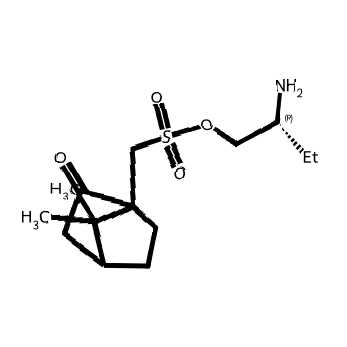 CC[C@@H](N)COS(=O)(=O)CC12CCC(CC1=O)C2(C)C